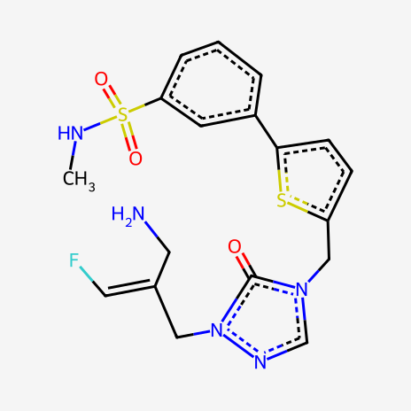 CNS(=O)(=O)c1cccc(-c2ccc(Cn3cnn(C/C(=C/F)CN)c3=O)s2)c1